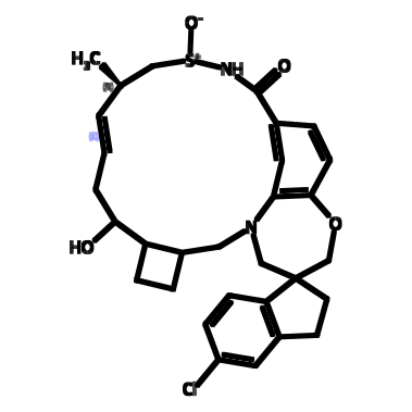 C[C@@H]1/C=C/CC(O)C2CCC2CN2CC3(CCc4cc(Cl)ccc43)COc3ccc(cc32)C(=O)N[S+]([O-])C1